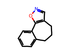 c1ccc2c(c1)CCCc1cnoc1-2